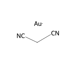 N#CCC#N.[Au]